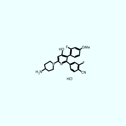 COc1ccc(-c2c(O)cc(N3CCC(N)CC3)nc2-c2ccc(C#N)c(F)c2)c(F)c1.Cl